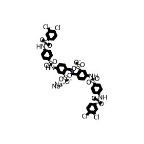 O=S(=O)([O-])c1cc(NS(=O)(=O)c2ccc(NS(=O)(=O)c3ccc(Cl)c(Cl)c3)cc2)ccc1/C=C/c1ccc(NS(=O)(=O)c2ccc(NS(=O)(=O)c3ccc(Cl)c(Cl)c3)cc2)cc1S(=O)(=O)[O-].[Na+].[Na+]